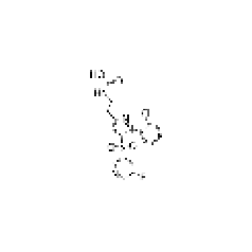 O=C(O)NCCc1cc(S(=O)(=O)c2cncc(F)c2)n(-c2ccccc2Cl)n1